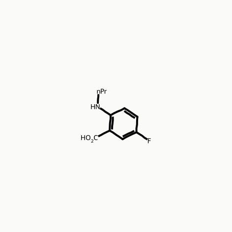 CCCNc1ccc(F)cc1C(=O)O